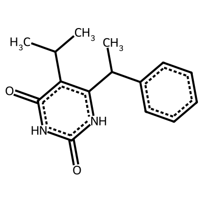 CC(C)c1c(C(C)c2ccccc2)[nH]c(=O)[nH]c1=O